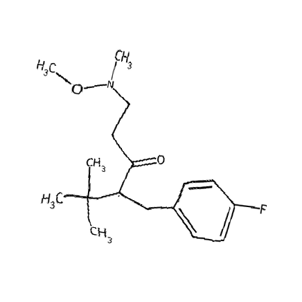 CON(C)CCC(=O)[C](Cc1ccc(F)cc1)C(C)(C)C